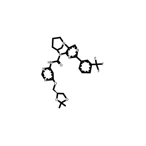 CC1(C)OC[C@H](COc2cc(NC(=O)N3c4nc(-c5cccc(C(F)(F)F)c5)ncc4N4CCCC3C4)ncn2)O1